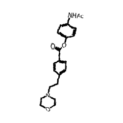 CC(=O)Nc1ccc(OC(=O)c2ccc(CCN3CCOCC3)cc2)cc1